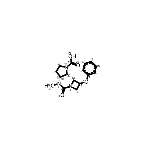 CN(C(=O)N1CC(Oc2ccccc2)C1)[C@@H]1CCN(C(=O)O)C1